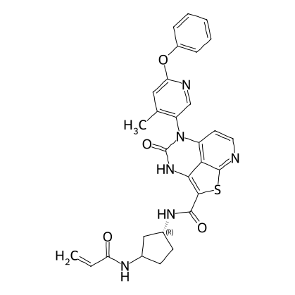 C=CC(=O)NC1CC[C@@H](NC(=O)c2sc3nccc4c3c2NC(=O)N4c2cnc(Oc3ccccc3)cc2C)C1